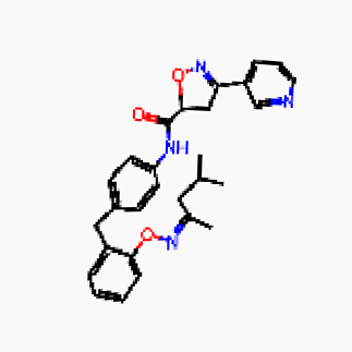 CC(CC(C)C)=NOc1ccccc1Cc1ccc(NC(=O)[C@@H]2CC(c3cccnc3)=NO2)cc1